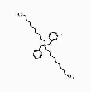 CCCCCCCCCC[N+](CCCCCCCCCC)(Cc1ccccc1)Cc1ccccc1.[I-]